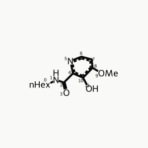 CCCCCCNC(=O)c1nccc(OC)c1O